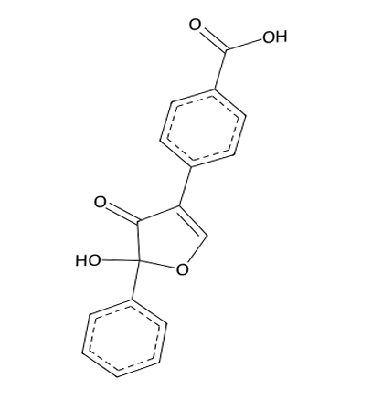 O=C(O)c1ccc(C2=COC(O)(c3ccccc3)C2=O)cc1